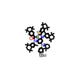 Cc1cc2c(cc1N1c3cc(N4c5ccc(C(C)(C)C)cc5C5(C)CCCCC45C)cc4c3B(c3sc5cc6c(c7c5c3N4c3cc4c(cc3-7)C(C)(C)CCC4(C)C)C(C)(C)CCC6(C)C)c3c1oc1cc4c(cc31)C(C)(C)CCC4(C)C)C(C)(C)CCC2(C)C